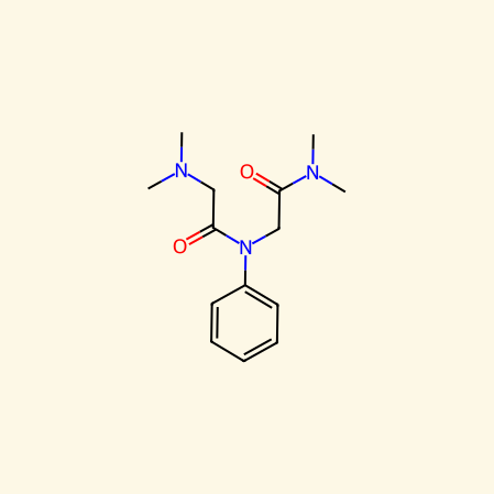 CN(C)CC(=O)N(CC(=O)N(C)C)c1ccccc1